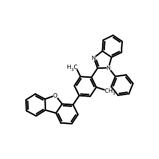 Cc1cc(-c2cccc3c2oc2ccccc23)cc(C)c1-c1nc2ccccc2n1-c1ccccc1